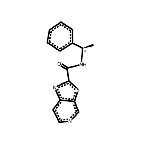 C[C@@H](NC(=O)c1nc2ccncc2s1)c1ccccc1